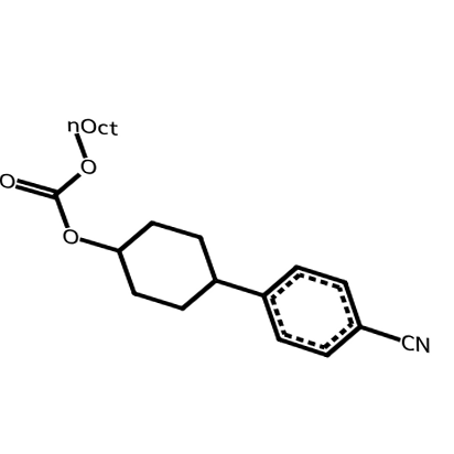 CCCCCCCCOC(=O)OC1CCC(c2ccc(C#N)cc2)CC1